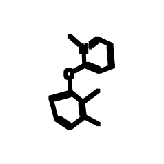 Cc1cccc(Oc2cccc[n+]2C)c1C